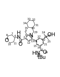 Cc1c(C(=O)NC2CCOCC2)cc(-c2cc(C(=O)NC(C)(C)C)cc(C(C)(C)O)c2)n1CC1CCCCC1